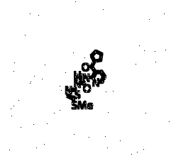 CSc1cnc(NC(=O)Nc2ncccc2C(=O)C2CCCC2)s1